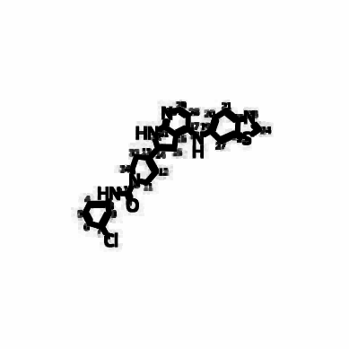 O=C(Nc1cccc(Cl)c1)N1CC=C(c2cc3c(Nc4ccc5ncsc5c4)ccnc3[nH]2)CC1